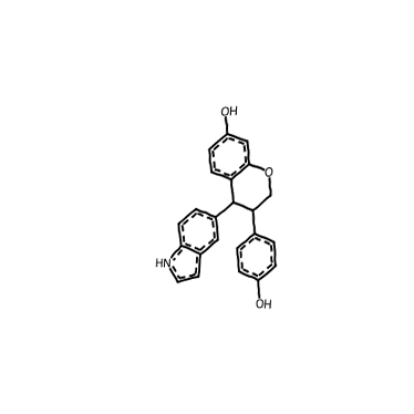 Oc1ccc(C2COc3cc(O)ccc3C2c2ccc3[nH]ccc3c2)cc1